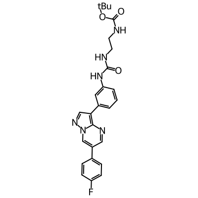 CC(C)(C)OC(=O)NCCNC(=O)Nc1cccc(-c2cnn3cc(-c4ccc(F)cc4)cnc23)c1